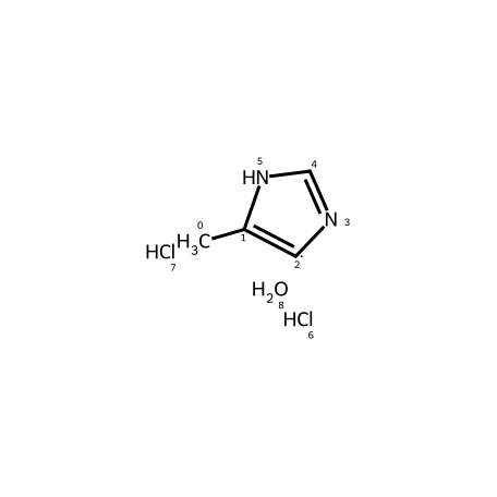 Cc1[c]nc[nH]1.Cl.Cl.O